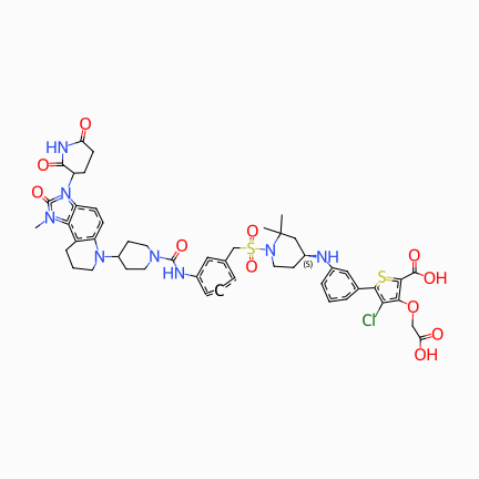 Cn1c(=O)n(C2CCC(=O)NC2=O)c2ccc3c(c21)CCCN3C1CCN(C(=O)Nc2cccc(CS(=O)(=O)N3CC[C@H](Nc4cccc(-c5sc(C(=O)O)c(OCC(=O)O)c5Cl)c4)CC3(C)C)c2)CC1